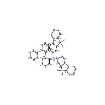 CC1(C)c2ccccc2-c2ccc(N(c3ccc4c(c3)C(C)(C)c3ccccc3-4)c3ccccc3-c3ccccc3-c3ccccc3)cc21